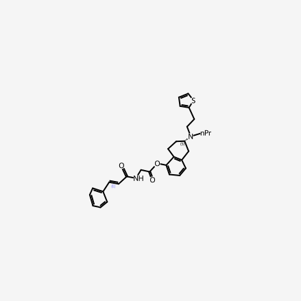 CCCN(CCc1cccs1)[C@H]1CCc2c(cccc2OC(=O)CNC(=O)/C=C/c2ccccc2)C1